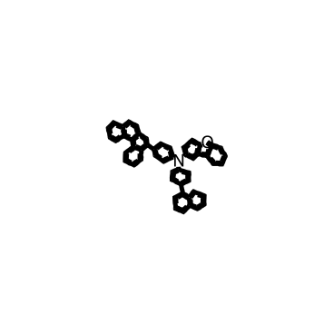 c1ccc2c(-c3ccc(N(c4ccc(-c5cc6ccc7ccccc7c6c6ccccc56)cc4)c4ccc5oc6ccccc6c5c4)cc3)cccc2c1